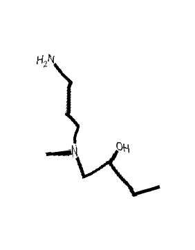 CCC(O)CN(C)CCCN